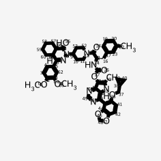 COc1ccc(C2=NN(C3CCN(C(=O)[C@H](Cc4cccc(C)c4)NC(=O)Oc4c(C)[nH]c5c(-c6c(OCC7CC7)ccc7c6OCO7)ncnc45)CC3)C(=O)[C@@H]3CCCC[C@H]23)cc1OC